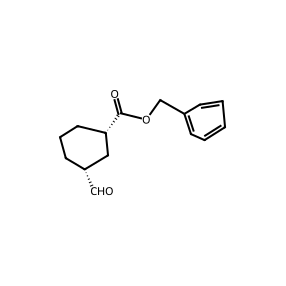 O=C[C@@H]1CCC[C@H](C(=O)OCc2ccccc2)C1